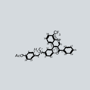 CC(=O)Oc1ccc(CN(C)c2cccc(-c3c(C(=O)c4ccccc4)cnc4c(C(F)(F)F)cccc34)c2)cc1